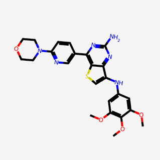 COc1cc(Nc2csc3c(-c4ccc(N5CCOCC5)nc4)nc(N)nc23)cc(OC)c1OC